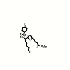 COC(=O)CCCc1ccc(C(CCCCCF)NS(=O)(=O)c2ccc(F)cc2)s1